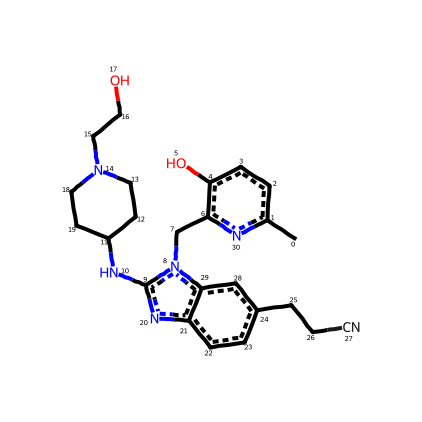 Cc1ccc(O)c(Cn2c(NC3CCN(CCO)CC3)nc3ccc(CCC#N)cc32)n1